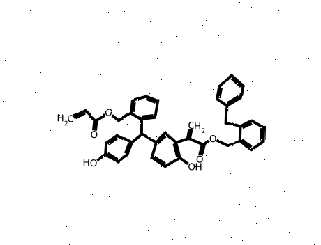 C=CC(=O)OCc1ccccc1C(c1ccc(O)cc1)c1ccc(O)c(C(=C)C(=O)OCc2ccccc2Cc2ccccc2)c1